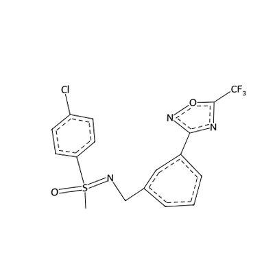 CS(=O)(=NCc1cccc(-c2noc(C(F)(F)F)n2)c1)c1ccc(Cl)cc1